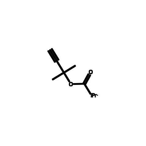 C#CC(C)(C)OC(=O)[C](C)C